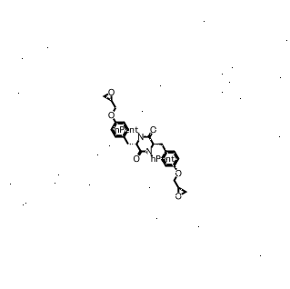 CCCCCN1C(=O)[C@H](Cc2ccc(OCC3CO3)cc2)N(CCCCC)C(=O)[C@H]1Cc1ccc(OCC2CO2)cc1